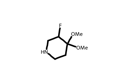 COC1(OC)CCNCC1F